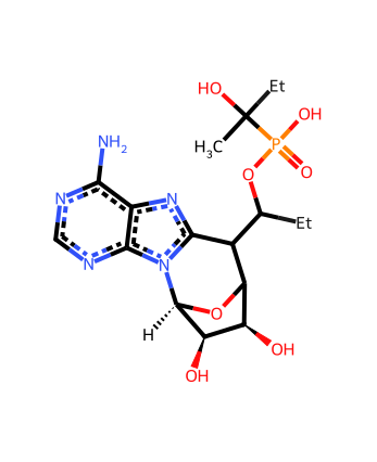 CCC(OP(=O)(O)C(C)(O)CC)C1c2nc3c(N)ncnc3n2[C@H]2OC1[C@@H](O)[C@H]2O